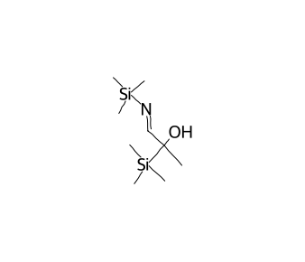 CC(O)(C=N[Si](C)(C)C)[Si](C)(C)C